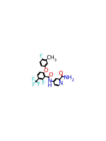 Cc1cc(Oc2ccc(C(F)(F)F)c(F)c2C(=O)Nc2ccnc(C(N)=O)c2)ccc1F